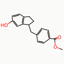 COC(=O)c1ccc(CC2CCc3ccc(O)cc32)cc1